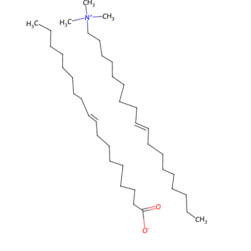 CCCCCCCCC=CCCCCCCCC(=O)[O-].CCCCCCCCC=CCCCCCCCC[N+](C)(C)C